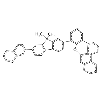 CC1(C)c2cc(-c3ccc4ccccc4c3)ccc2-c2ccc(-c3cccc4c3Oc3cc5ccccc5c5cccc-4c35)cc21